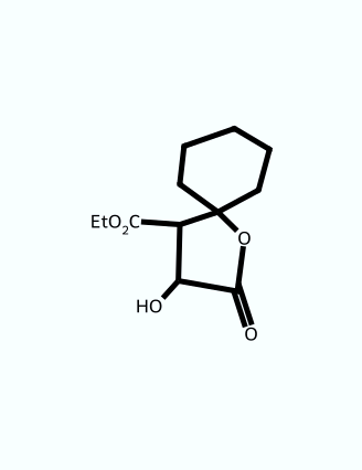 CCOC(=O)C1C(O)C(=O)OC12CCCCC2